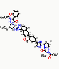 CC[C@H](C)[C@H](NC(=O)OC)C(=O)N1C[C@@H](C)C[C@H]1c1ncc(-c2ccc3c(c2)COc2cc4c(ccc5nc([C@@H]6C[C@H](COC)CN6C(=O)[C@H](NC(=O)OC)C6C=CC=CC6)[nH]c54)cc2-3)[nH]1